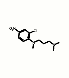 CN(C)CCCN(C)c1ccc([N+](=O)[O-])cc1Cl